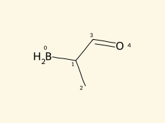 BC(C)C=O